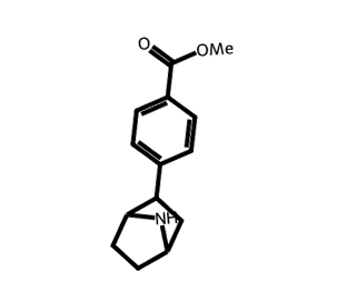 COC(=O)c1ccc(C2CC3CCC2N3)cc1